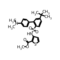 COC(=O)c1sccc1NS(=O)(=O)c1ccc(C(C)(C)C)cc1-c1ccc(N(C)C)cc1